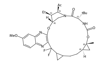 CC[C@@H]1[C@@H]2CN(C(=O)[C@H](C(C)(C)C)NC(=O)O[C@]3(C)C[C@H]3CCC3CC3C(F)(F)c3nc4ccc(OC)cc4nc3O2)[C@@H]1C(C)=O